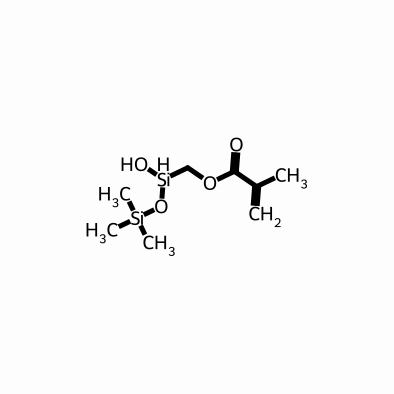 C=C(C)C(=O)OC[SiH](O)O[Si](C)(C)C